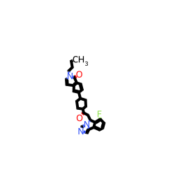 CCCCn1ccc2cc(C3CCC(C(=O)CC4c5c(F)cccc5-c5cncn54)CC3)ccc2c1=O